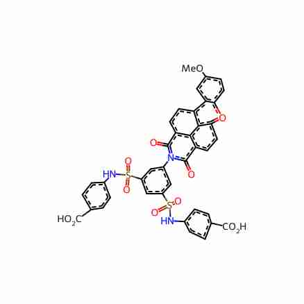 COc1ccc2oc3ccc4c(=O)n(-c5cc(S(=O)(=O)Nc6ccc(C(=O)O)cc6)cc(S(=O)(=O)Nc6ccc(C(=O)O)cc6)c5)c(=O)c5ccc(c2c1)c3c45